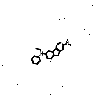 CCN(c1ccccc1)c1ccc2c(c1)-c1ccc(N(C)C)cc1C2